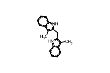 Cc1c(Cc2[nH]c3ccccc3c2C)[nH]c2ccccc12